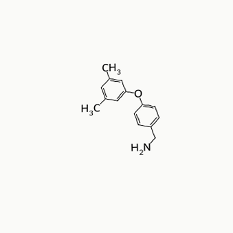 Cc1cc(C)cc(Oc2ccc(CN)cc2)c1